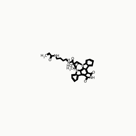 C=CC(=O)NCCCCNC(=O)[C@@]1(O)CC2O[C@]1(C)n1c3ccccc3c3c4c(c5c6ccccc6n2c5c31)C(=O)NC4=O